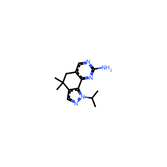 CC(C)n1ncc2c1-c1nc(N)ncc1CC2(C)C